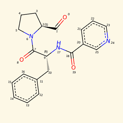 O=[C][C@@H]1CCCN1C(=O)[C@@H](Cc1ccccc1)NC(=O)c1cccnc1